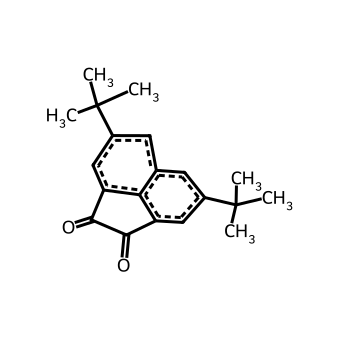 CC(C)(C)c1cc2c3c(cc(C(C)(C)C)cc3c1)C(=O)C2=O